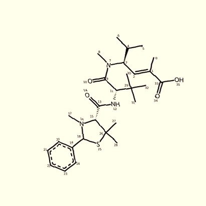 C/C(=C\[C@H](C(C)C)N(C)C(=O)[C@@H](NC(=O)[C@H]1N(C)C(c2ccccc2)SC1(C)C)C(C)(C)C)C(=O)O